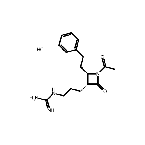 CC(=O)N1C(=O)[C@H](CCCNC(=N)N)[C@H]1CCc1ccccc1.Cl